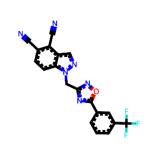 N#Cc1ccc2c(cnn2Cc2noc(-c3cccc(C(F)(F)F)c3)n2)c1C#N